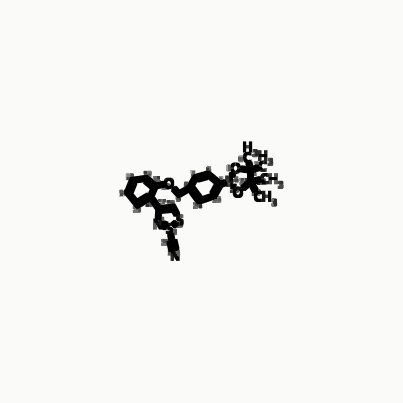 CC1(C)OB(c2ccc(COc3ccccc3C3=CSS(C#N)=N3)cc2)OC1(C)C